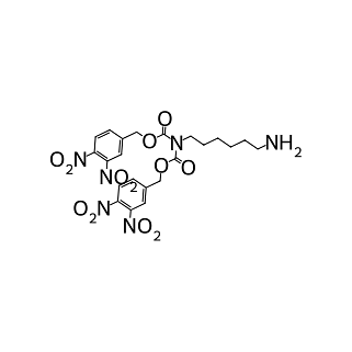 NCCCCCCN(C(=O)OCc1ccc([N+](=O)[O-])c([N+](=O)[O-])c1)C(=O)OCc1ccc([N+](=O)[O-])c([N+](=O)[O-])c1